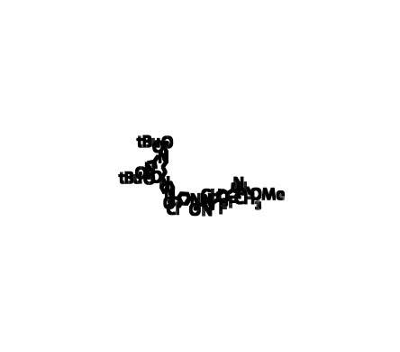 COCCn1ncc(-c2ccc(-c3cnc(C(=O)Nc4ccc(C(=O)N5CCN(C(=O)CCCN(CC(=O)OC(C)(C)C)CC6CN(C(=O)OC(C)(C)C)C6)CC5)c(Cl)c4)n3C)c(F)c2F)c1C